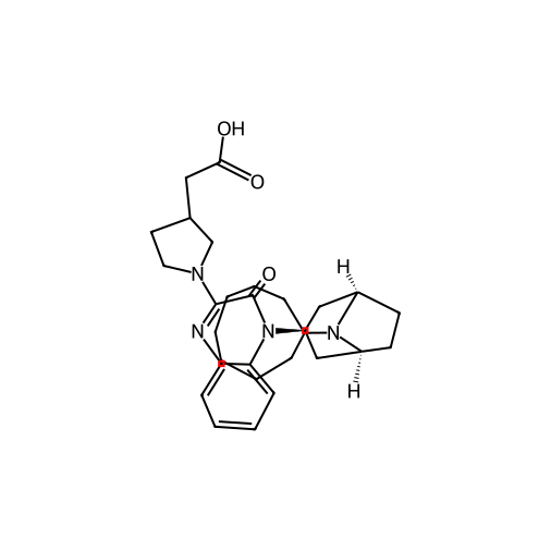 O=C(O)CC1CCN(c2nc3ccccc3n([C@H]3C[C@H]4CC[C@@H](C3)N4C3CCCCCCC3)c2=O)C1